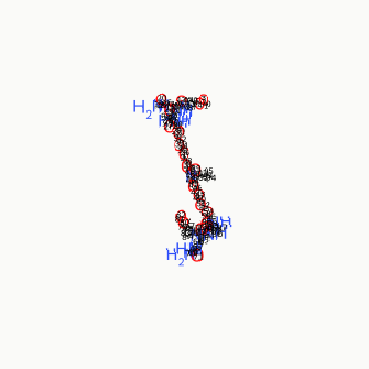 CCC(=O)OCc1ccc(NC(=O)C(CCCNC(N)=O)NC(=O)[C@@H](NC(=O)CCOCCOCCOCCOCCN(CCOCCOCCOCCOCCC(=O)N[C@H](C(=O)NC(CCCNC(N)=O)C(=O)Nc2ccc(COC=O)cc2)C(C)C)C(=O)CCCC(C)C)C(C)C)cc1